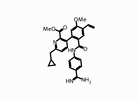 C=Cc1cc(C(=O)Nc2ccc(C(=N)N)cc2)c(-c2ccc(CC3CC3)nc2C(=O)OC)cc1OC